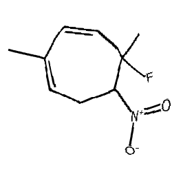 CC1=CCC([N+](=O)[O-])C(C)(F)C=C1